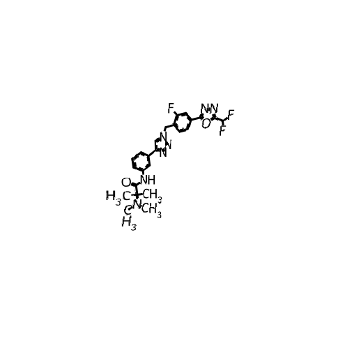 CN(C)C(C)(C)C(=O)Nc1cccc(-c2cn(Cc3ccc(-c4nnc(C(F)F)o4)cc3F)nn2)c1